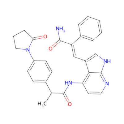 CC(C(=O)Nc1ccnc2[nH]cc(C=C(C(N)=O)c3ccccc3)c12)c1ccc(N2CCCC2=O)cc1